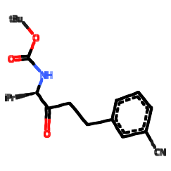 CC(C)[C@@H](NC(=O)OC(C)(C)C)C(=O)CCc1cccc(C#N)c1